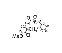 COC1=CC=C(CCC(=O)C(=O)OCc2ccccc2)C(C)C1Cl